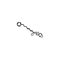 O=C(C=CC=CCCCc1ccccc1)NCC1CCOC1